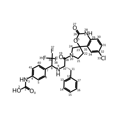 O=C(O)Nc1ccc(C(N[C@@H](Cc2ccccc2)C(=O)N2CCC3(C2)OC(=O)Nc2ccc(Cl)cc23)C(F)(F)F)cc1